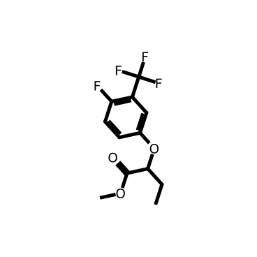 CCC(Oc1ccc(F)c(C(F)(F)F)c1)C(=O)OC